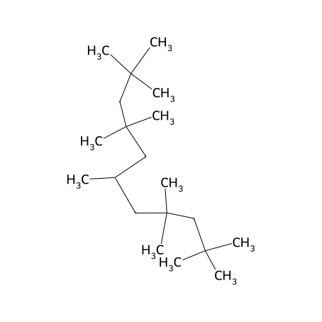 CC(CC(C)(C)CC(C)(C)C)CC(C)(C)CC(C)(C)C